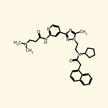 Cc1nc(-c2ccnc(NC(=O)CCN(C)C)c2)nn1CCN(C(=O)Cc1cccc2ccccc12)C1CCCC1